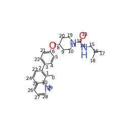 Cc1c(-c2ccc(OC3CCN(C(=O)NCC(C)C)CC3)cc2)ccc2cccnc12